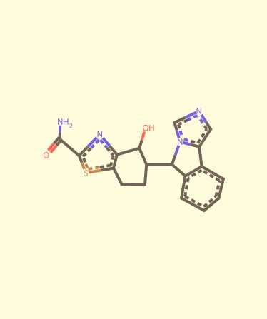 NC(=O)c1nc2c(s1)CCC(C1c3ccccc3-c3cncn31)C2O